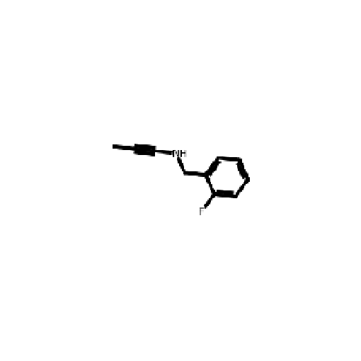 CC#CNCc1ccccc1F